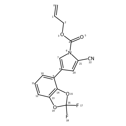 C=CCOC(=O)n1cc(-c2cccc3c2OC(F)(F)O3)cc1C#N